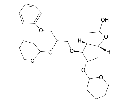 Cc1cccc(OCC(CO[C@H]2[C@@H]3CC(O)O[C@@H]3C[C@@H]2OC2CCCCO2)OC2CCCCO2)c1